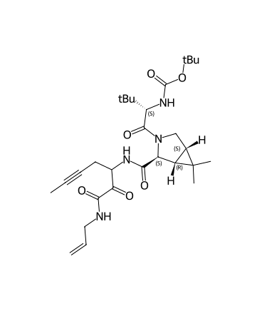 C=CCNC(=O)C(=O)C(CC#CC)NC(=O)[C@@H]1[C@@H]2[C@H](CN1C(=O)[C@@H](NC(=O)OC(C)(C)C)C(C)(C)C)C2(C)C